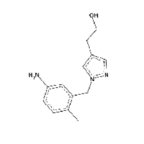 Cc1ccc(N)cc1Cn1cc(CCO)cn1